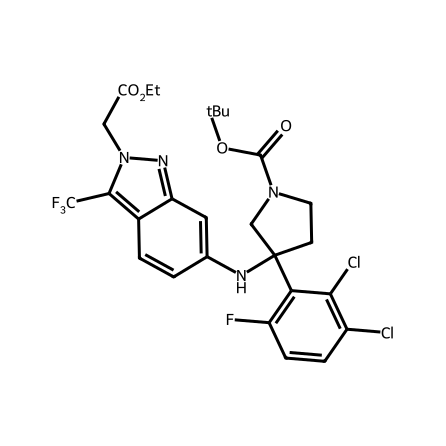 CCOC(=O)Cn1nc2cc(NC3(c4c(F)ccc(Cl)c4Cl)CCN(C(=O)OC(C)(C)C)C3)ccc2c1C(F)(F)F